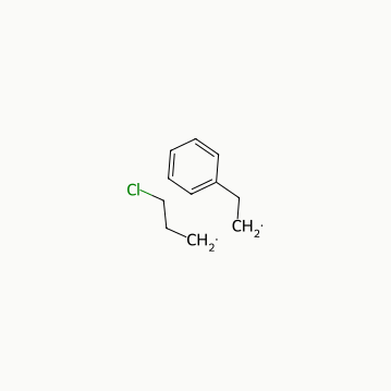 [CH2]CCCl.[CH2]Cc1ccccc1